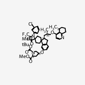 COC(=O)[C@@H]1C[C@@H](Oc2ccc3c(c2)C2(CCC(C(=O)OC)(N(C(=O)C(F)(F)F)c4cccc(Cl)c4)CC2)[C@@H](C[C@@H](C)COc2ccnc4c2[C@H](C)CCC4)C3)CN1C(=O)OC(C)(C)C